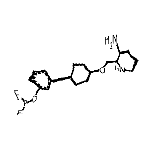 NC1CCCNC1COC1CCC(c2cccc(OP(F)F)c2)CC1